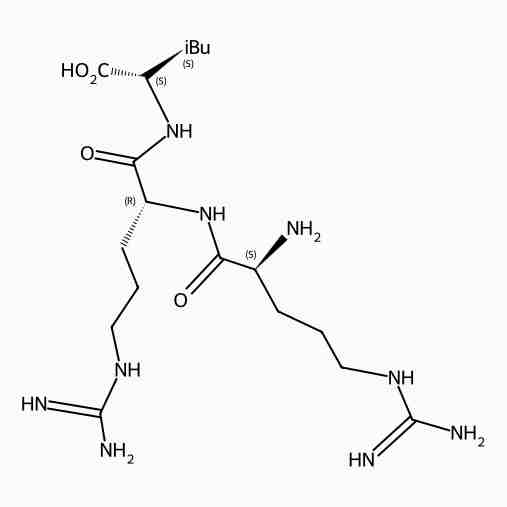 CC[C@H](C)[C@H](NC(=O)[C@@H](CCCNC(=N)N)NC(=O)[C@@H](N)CCCNC(=N)N)C(=O)O